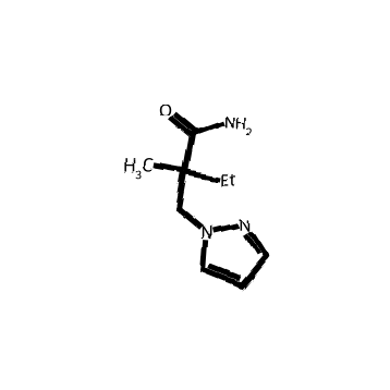 CCC(C)(Cn1cccn1)C(N)=O